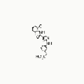 Cc1cccc(Cl)c1NC(=O)c1cnc(Nc2cccc(CC(=O)O)c2)s1